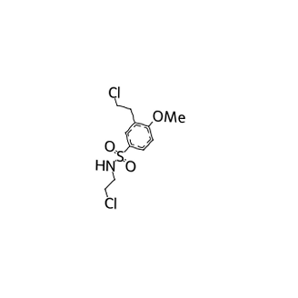 COc1ccc(S(=O)(=O)NCCCl)cc1CCCl